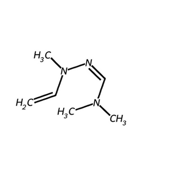 C=CN(C)/N=C\N(C)C